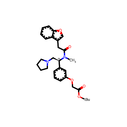 CN(C(=O)Cc1coc2ccccc12)[C@H](CN1CCCC1)c1cccc(OCC(=O)OC(C)(C)C)c1